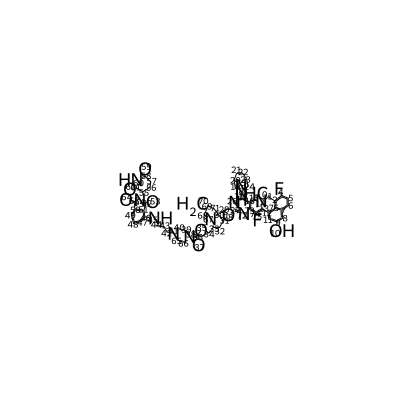 C#Cc1c(F)ccc2cc(O)cc(-c3ncc4c(N5CC6CCC(C5)N6)nc(OC[C@@]56CC[C@@H](COC(=O)N7CCN(CCCNc8cccc9c8C(=O)N(C8CCC(=O)NC8=O)C9=O)CC7)N5CC(=C)C6)nc4c3F)c12